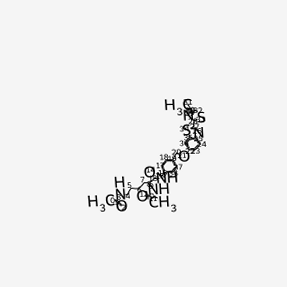 CC(=O)NCCCCC(NC(C)=O)C(=O)Nc1ccc(COc2ccc3nc(C4=N[C@@H](C)CS4)sc3c2)cc1